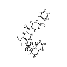 COc1cc(C(=O)N2CCN(C(C)c3ccccc3)CC2)ccc1NS(=O)(=O)c1cccc2cccnc12